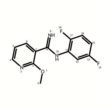 COc1ncccc1C(=N)Nc1cc(F)ccc1F